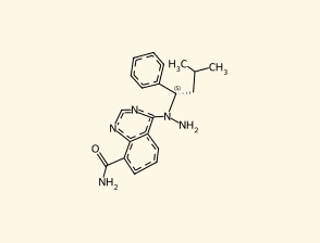 CC(C)C[C@@H](c1ccccc1)N(N)c1ncnc2c(C(N)=O)cccc12